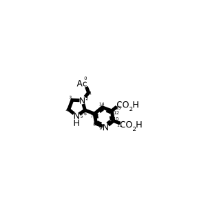 CC(=O)CN1CCNC1c1cnc(C(=O)O)c(C(=O)O)c1